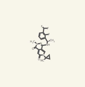 C[C@@H](Nc1nn(C)c(=O)c2cc(=O)n(C3(C#N)CC3)cc12)c1cccc(C(F)F)c1F